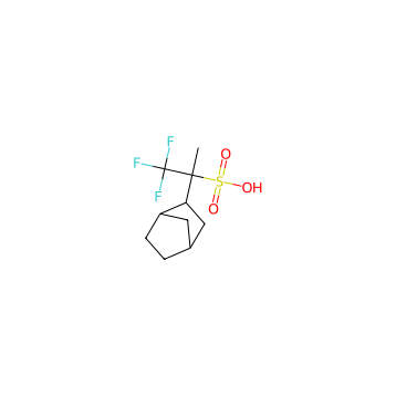 CC(C1CC2CCC1C2)(C(F)(F)F)S(=O)(=O)O